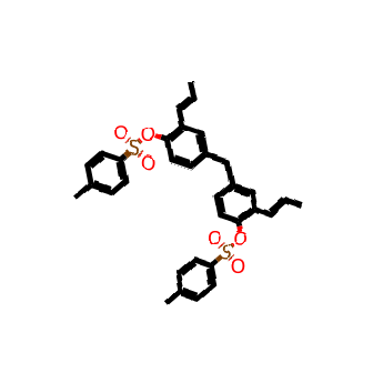 CC=Cc1cc(Cc2ccc(OS(=O)(=O)c3ccc(C)cc3)c(C=CC)c2)ccc1OS(=O)(=O)c1ccc(C)cc1